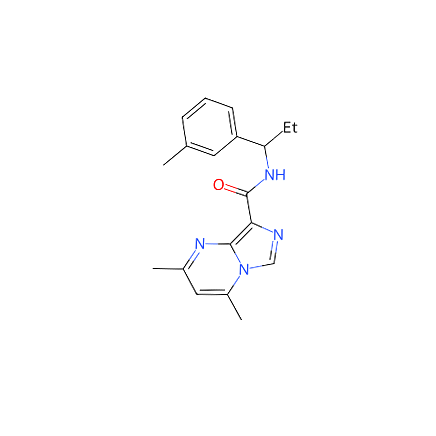 CCC(NC(=O)c1ncn2c(C)cc(C)nc12)c1cccc(C)c1